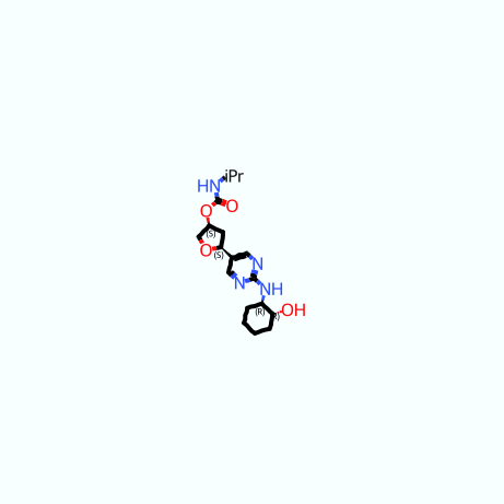 CC(C)NC(=O)O[C@@H]1CO[C@H](c2cnc(N[C@@H]3CCCC[C@H]3O)nc2)C1